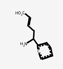 NC(CC=CC(=O)O)c1ccccc1